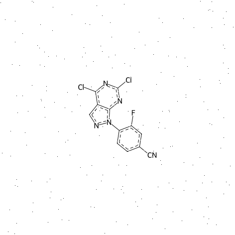 N#Cc1ccc(-n2ncc3c(Cl)nc(Cl)nc32)c(F)c1